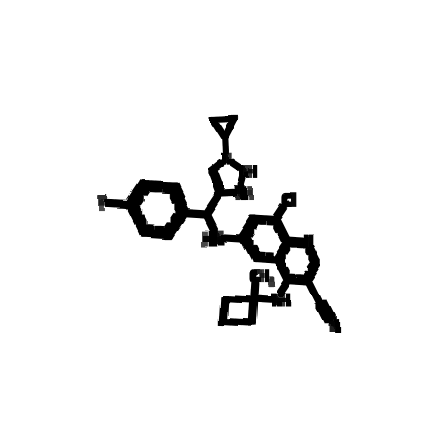 CC1(Nc2c(C#N)cnc3c(Cl)cc(NC(C4=CN(C5CC5)NN4)c4ccc(F)cc4)cc23)CCC1